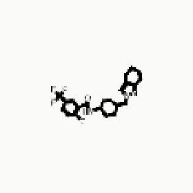 O=C(NC1CCC(Cn2cc3c(n2)CCCC3)CC1)c1cc(C(F)(F)F)ccc1Cl